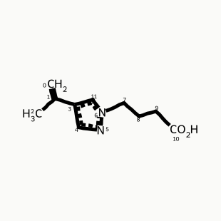 C=C(C)c1cnn(CCCC(=O)O)c1